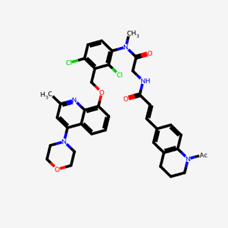 CC(=O)N1CCCc2cc(/C=C/C(=O)NCC(=O)N(C)c3ccc(Cl)c(COc4cccc5c(N6CCOCC6)cc(C)nc45)c3Cl)ccc21